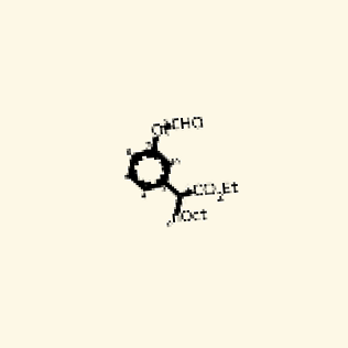 CCCCCCCCC(C(=O)OCC)c1cccc(OC=O)c1